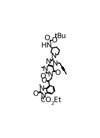 CC#CCn1c(N2CCCC(NC(=O)OC(C)(C)C)C2)nc2c1c(=O)n(CC(=O)c1cccc3c1n(C)c(=O)n3C(=O)OCC)c(=O)n2C